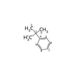 CC(C)(C)c1c[c][c]cc1